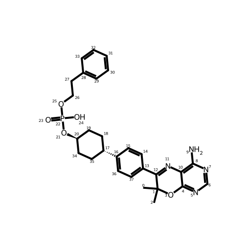 CC1(C)Oc2ncnc(N)c2N=C1c1ccc([C@H]2CC[C@H](OP(=O)(O)OCCc3ccccc3)CC2)cc1